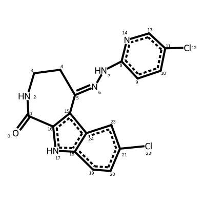 O=C1NCCC(=NNc2ccc(Cl)cn2)c2c1[nH]c1ccc(Cl)cc21